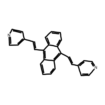 C(=Cc1c2ccccc2c(C=Cc2ccncc2)c2ccccc12)c1ccncc1